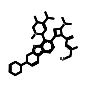 C=C(/C=C(\C)CN)C1C(c2ccc3c4c(oc3c2C2C=C(C(C)C)C(C)CN2C)CC(C2CC=CCC2)C=C4)=CC1N(C)C